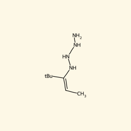 C/C=C(\NNNN)C(C)(C)C